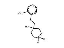 CCCCCCCCc1ccccc1CCC1(N)COP(=O)(O)OC1